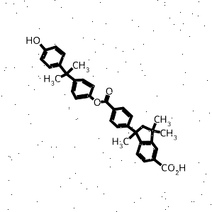 CC1(C)CC(C)(c2ccc(C(=O)Oc3ccc(C(C)(C)c4ccc(O)cc4)cc3)cc2)c2ccc(C(=O)O)cc21